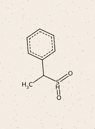 CC(c1ccccc1)[SH](=O)=O